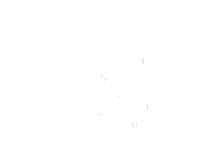 CCC1(N(CC(=O)O)C(=O)OC(C)(C)C)CC1c1ccccc1